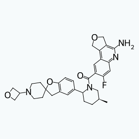 C[C@H]1CCC(c2ccc3c(c2)CC2(CCN(C4COC4)CC2)O3)N(C(=O)c2cc3c4c(c(N)nc3cc2F)COC4)C1